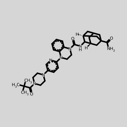 CC(C)(C)C(=O)N1CCN(c2ccc(N3CCN(C(=O)NC4[C@@H]5CC6C[C@H]4CC(C(N)=O)(C6)C5)c4ccccc43)nc2)CC1